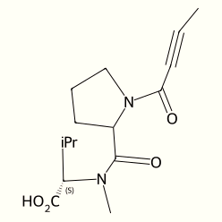 CC#CC(=O)N1CCCC1C(=O)N(C)[C@H](C(=O)O)C(C)C